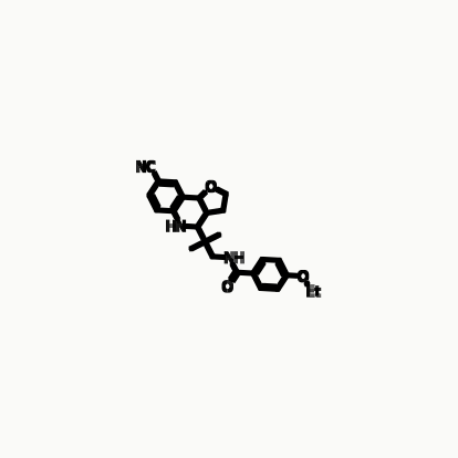 CCOc1ccc(C(=O)NCC(C)(C)C2Nc3ccc(C#N)cc3C3OCCC32)cc1